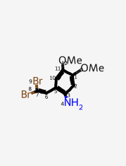 COc1cc(N)c(C=C(Br)Br)cc1OC